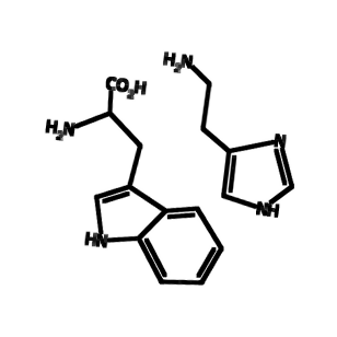 NC(Cc1c[nH]c2ccccc12)C(=O)O.NCCc1c[nH]cn1